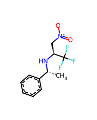 C[C@@H](N[C@@H](C[N+](=O)[O-])C(F)(F)F)c1ccccc1